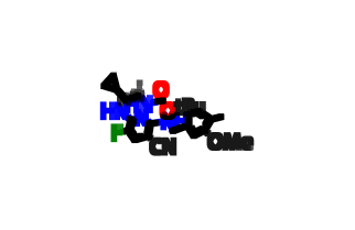 COc1cc(CNc2nc(N[C@H](C3CC3)[C@H](C)NC(=O)OC(C)(C)C)c(F)cc2C#N)ccc1C